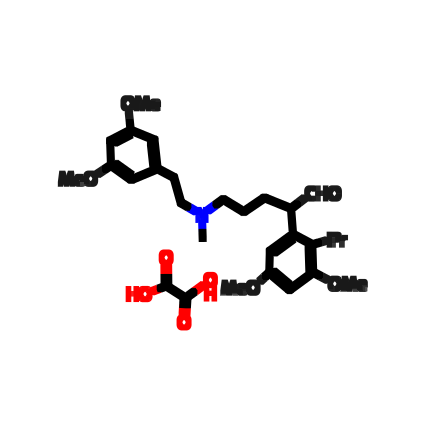 COc1cc(CCN(C)CCCC(C=O)c2cc(OC)cc(OC)c2C(C)C)cc(OC)c1.O=C(O)C(=O)O